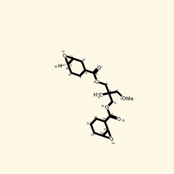 COCC(C)(COC(=O)C1CC[C@H]2OC2C1)COC(=O)C1CCCC2OC21